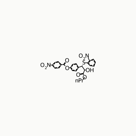 CCCOC(=O)[C@H](O)[C@@H](Sc1ccccc1[N+](=O)[O-])c1ccc(OC(=O)c2ccc([N+](=O)[O-])cc2)cc1